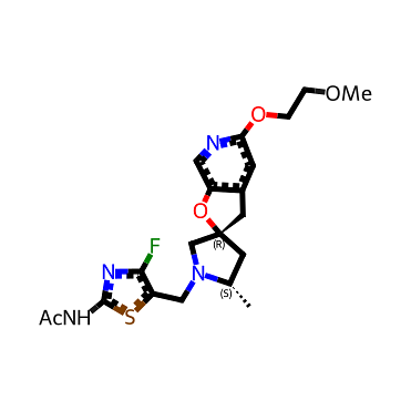 COCCOc1cc2c(cn1)O[C@]1(C2)C[C@H](C)N(Cc2sc(NC(C)=O)nc2F)C1